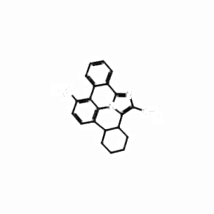 Cc1nc2c3ccccc3c3c(C)ccc4c3n2c1C1CCCCC41